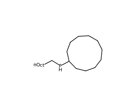 CCCCCCCCCPC1CCCCCCCCCC1